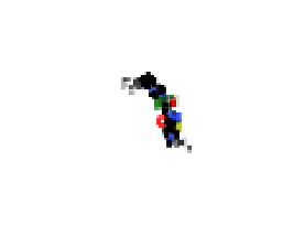 CN1CCc2c(sc3ncn(CCCCN4CCN(c5cccc(C(F)(F)F)c5)CC4)c(=O)c23)C1.Cl.Cl